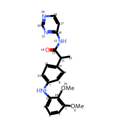 COc1cccc(Nc2ccc(C(C)C(=O)Nc3ccncn3)cc2)c1OC